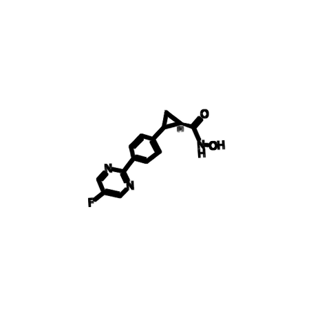 O=C(NO)[C@@H]1CC1c1ccc(-c2ncc(F)cn2)cc1